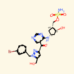 NS(=O)(=O)OC[C@H]1C[C@@H](Nc2ncncc2C(=O)c2cc(CO)n(Cc3cccc(Br)c3)n2)C[C@@H]1O